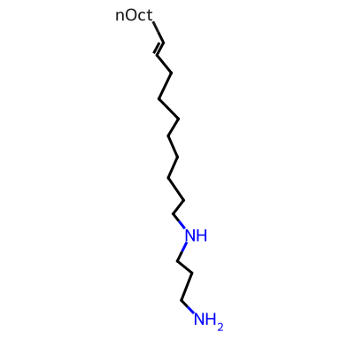 CCCCCCCC/C=C/CCCCCCCCNCCCN